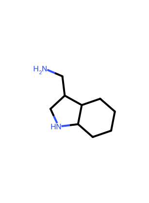 NCC1CNC2CCCCC12